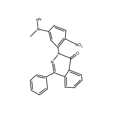 CCCN(C)c1ccc([N+](=O)[O-])c(-n2nc(-c3ccccc3)c3ccccc3c2=O)c1